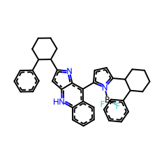 FB(F)n1c(-c2c3nc(C4CCCCC4c4ccccc4)cc-3[nH]c3ccccc23)ccc1C1CCCCC1c1ccccc1